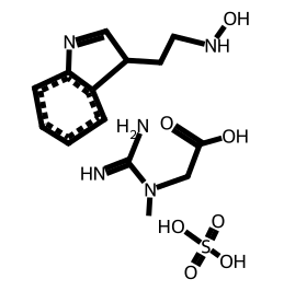 CN(CC(=O)O)C(=N)N.O=S(=O)(O)O.ONCCC1C=Nc2ccccc21